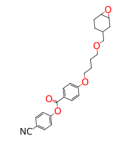 N#Cc1ccc(OC(=O)c2ccc(OCCCCOCC3CCC4OC4C3)cc2)cc1